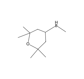 CBC1CC(C)(C)OC(C)(C)C1